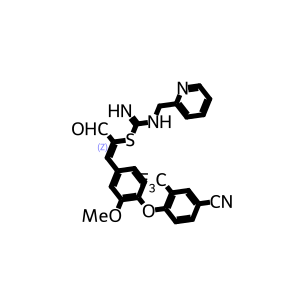 COc1cc(/C=C(/C=O)SC(=N)NCc2ccccn2)ccc1Oc1ccc(C#N)cc1C(F)(F)F